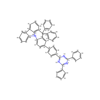 c1ccc(-c2nc(-c3ccccc3)nc(-c3ccc(-c4ccc5c(c4)C(c4ccccc4)(c4ccccc4)c4cccc6c7ccccc7n-5c46)cc3)n2)cc1